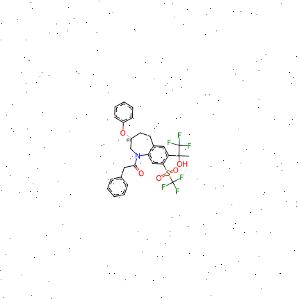 CC(O)(c1cc2c(cc1S(=O)(=O)C(F)(F)F)N(C(=O)Cc1ccccc1)C[C@H](Oc1ccccc1)CC2)C(F)(F)F